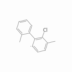 Cc1ccccc1-c1[c]ccc(C)c1Cl